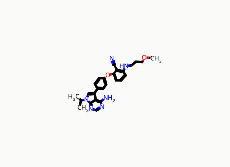 COCCCNc1cccc(Oc2ccc(-c3cn(C(C)C)c4ncnc(N)c34)cc2)c1C#N